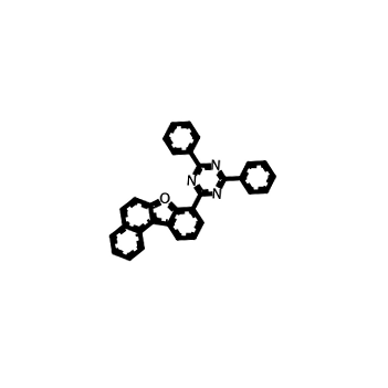 c1ccc(-c2nc(-c3ccccc3)nc(-c3cccc4c3oc3ccc5ccccc5c34)n2)cc1